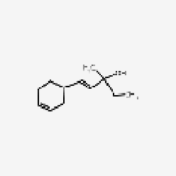 CCC(C)(O)C=CC1CC=CCC1